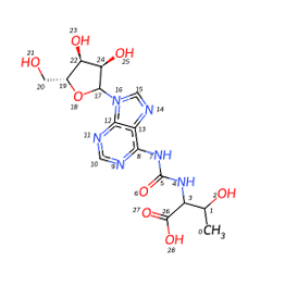 CC(O)C(NC(=O)Nc1ncnc2c1ncn2C1O[C@H](CO)[C@@H](O)[C@H]1O)C(=O)O